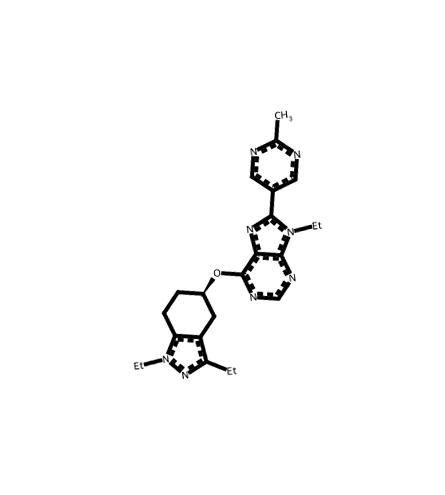 CCc1nn(CC)c2c1C[C@H](Oc1ncnc3c1nc(-c1cnc(C)nc1)n3CC)CC2